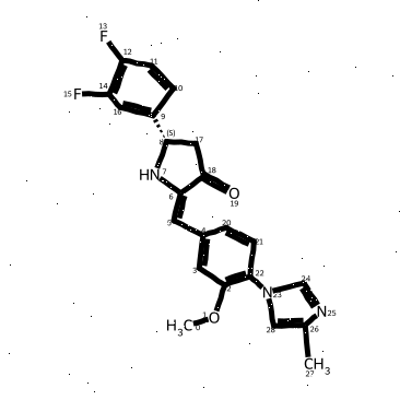 COc1cc(C=C2N[C@H](c3ccc(F)c(F)c3)CC2=O)ccc1-n1cnc(C)c1